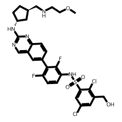 COCCNC[C@@H]1CC[C@@H](Nc2ncc3cc(-c4c(F)ccc(NS(=O)(=O)c5cc(Cl)cc(CO)c5Cl)c4F)ccc3n2)C1